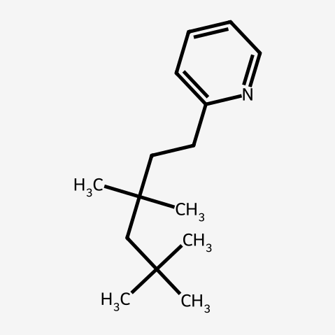 CC(C)(C)CC(C)(C)CCc1ccccn1